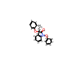 CC(Oc1ccccc1)(C(=O)NOc1ccccc1)c1ccccc1